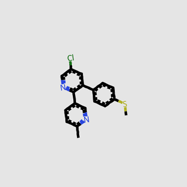 CSc1ccc(-c2cc(Cl)cnc2-c2ccc(C)nc2)cc1